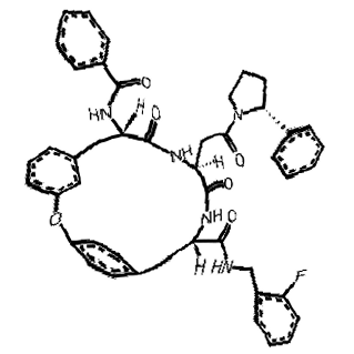 O=C(N[C@H]1Cc2cccc(c2)Oc2ccc(cc2)C[C@@H](C(=O)NCc2ccccc2F)NC(=O)[C@H](CC(=O)N2CCC[C@@H]2c2ccccc2)NC1=O)c1ccccc1